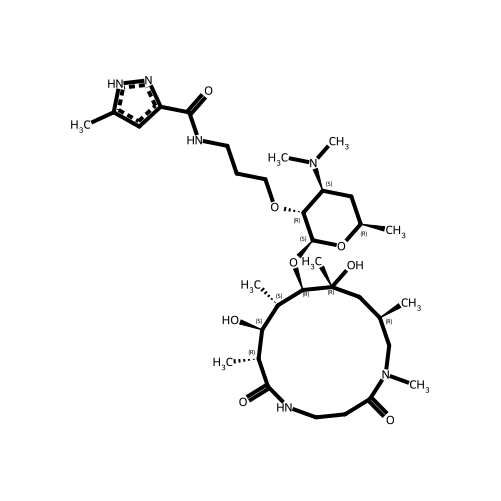 Cc1cc(C(=O)NCCCO[C@H]2[C@H](O[C@@H]3[C@@H](C)[C@H](O)[C@@H](C)C(=O)NCCC(=O)N(C)C[C@H](C)C[C@@]3(C)O)O[C@H](C)C[C@@H]2N(C)C)n[nH]1